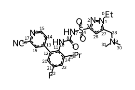 CCn1nc(S(=O)(=O)NC(=O)Nc2c(-c3ccnc(C#N)c3)cc(F)cc2C(C)C)cc1CN(C)C